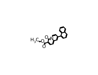 CCOC(=O)c1ccc2cc(-c3cccc4ccccc34)ccn2c1=O